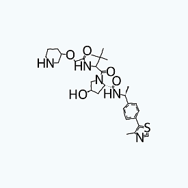 Cc1ncsc1-c1ccc([C@H](C)NC(=O)[C@@H]2C[C@@H](O)CN2C(=O)C(NC(=O)COC2CCCNC2)C(C)(C)C)cc1